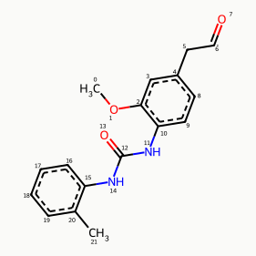 COc1cc(C[C]=O)ccc1NC(=O)Nc1ccccc1C